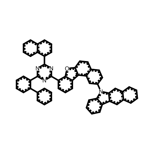 c1ccc(-c2ccccc2-c2nc(-c3cccc4ccccc34)nc(-c3cccc4c3oc3ccc5ccc(-n6c7ccccc7c7cc8ccccc8cc76)cc5c34)n2)cc1